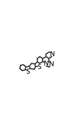 c1ccc2c(c1)sc1cc3sc4c(ccc5c6ccncc6c6nccn6c54)c3cc12